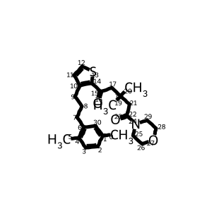 Cc1ccc(C)c(CCCc2ccsc2C(=O)CC(C)(C)CC(=O)N2CCOCC2)c1